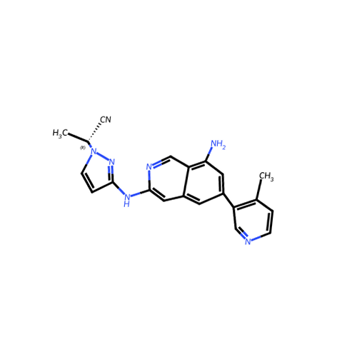 Cc1ccncc1-c1cc(N)c2cnc(Nc3ccn([C@H](C)C#N)n3)cc2c1